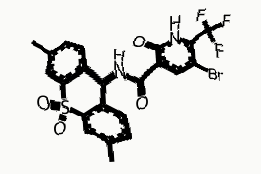 Cc1ccc2c(c1)S(=O)(=O)c1cc(C)ccc1C2NC(=O)c1cc(Br)c(C(F)(F)F)[nH]c1=O